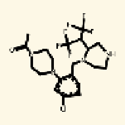 CC(=O)N1CCN(c2cc(Cl)ccc2CN2CCNCC2C(C(F)(F)F)C(F)(F)F)CC1